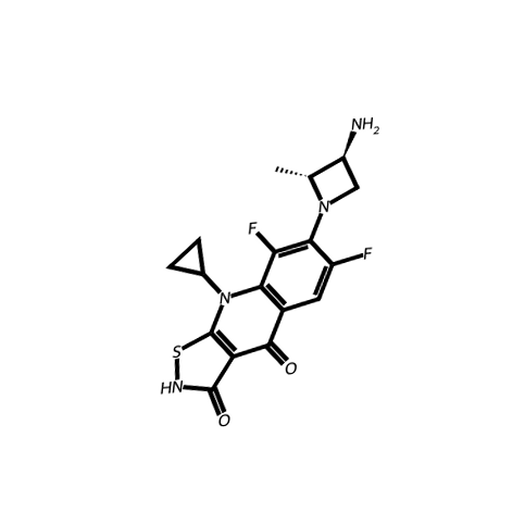 C[C@@H]1[C@@H](N)CN1c1c(F)cc2c(=O)c3c(=O)[nH]sc3n(C3CC3)c2c1F